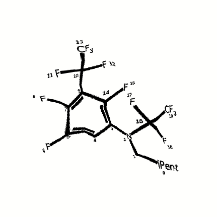 CCCC(C)CN(c1cc(F)c(F)c(C(F)(F)C(F)(F)F)c1F)C(F)(F)C(F)(F)F